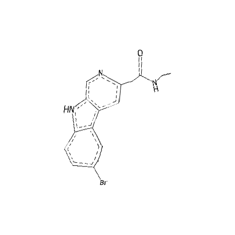 CNC(=O)c1cc2c(cn1)[nH]c1ccc(Br)cc12